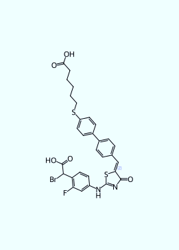 O=C(O)CCCCCSc1ccc(-c2ccc(/C=C3\SC(Nc4ccc(C(Br)C(=O)O)c(F)c4)=NC3=O)cc2)cc1